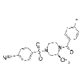 C[C@H]1CN(S(=O)(=O)c2ccc(C#N)cc2)CCN1C(=O)c1ccc(F)cc1